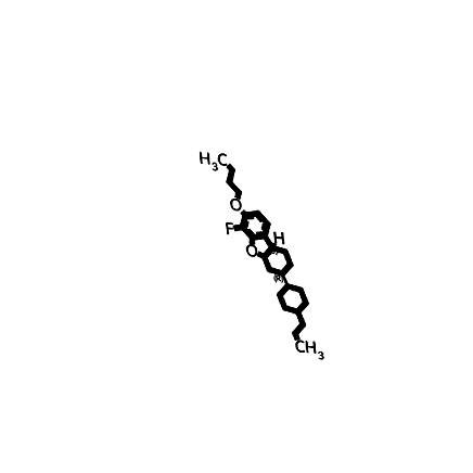 CCCCOc1ccc2c(c1F)OC1C[C@H](C3CCC(CCC)CC3)CC[C@@H]21